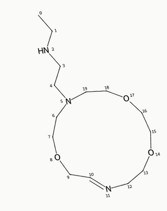 CCNCCN1CCOC/C=N/CCOCCOCC1